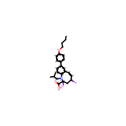 CCCCOc1ccc(-c2ccc3c(c2)C=CC(I)CC(I)(C(=O)O)N3CC(C)C)cc1